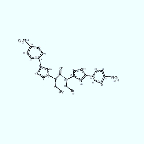 O=C(C(CBr)c1csc(-c2ccc([N+](=O)[O-])cc2)n1)C(CBr)c1csc(-c2ccc([N+](=O)[O-])cc2)n1